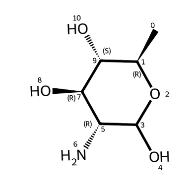 C[C@H]1OC(O)[C@H](N)[C@@H](O)[C@@H]1O